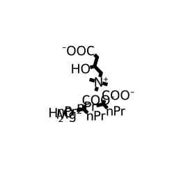 CCCC(CCC)C(=O)[O-].CCCC(CCC)C(=O)[O-].C[N+](C)(C)CC(O)CC(=O)[O-].O.[Mg+2]